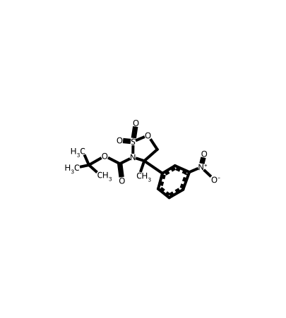 CC(C)(C)OC(=O)N1C(C)(c2cccc([N+](=O)[O-])c2)COS1(=O)=O